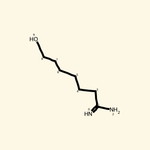 N=C(N)CCCCCCO